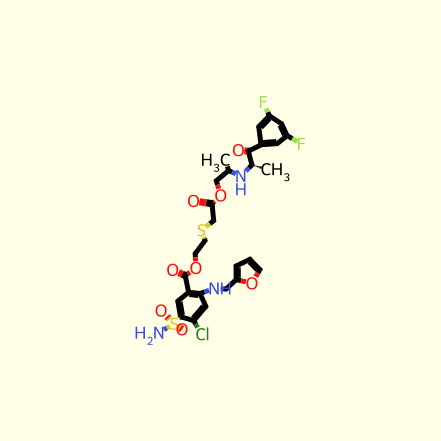 CC(COC(=O)CSCCOC(=O)c1cc(S(N)(=O)=O)c(Cl)cc1NCc1ccco1)N[C@@H](C)C(=O)c1cc(F)cc(F)c1